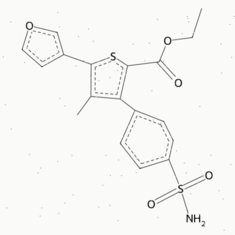 CCOC(=O)c1sc(-c2ccoc2)c(C)c1-c1ccc(S(N)(=O)=O)cc1